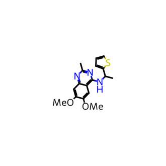 COc1cc2nc(C)nc(NC(C)c3cccs3)c2cc1OC